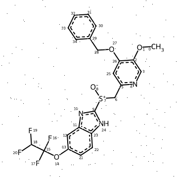 COc1cnc(C[S+]([O-])c2nc3cc(OC(F)(F)C(F)F)ccc3[nH]2)cc1OCc1ccccc1